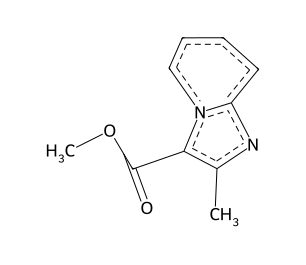 COC(=O)c1c(C)nc2ccccn12